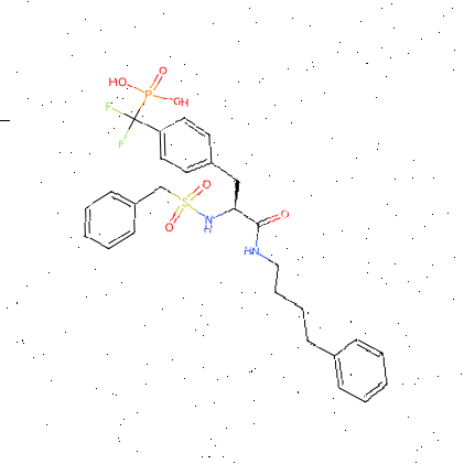 O=C(NCCCCc1ccccc1)[C@H](Cc1ccc(C(F)(F)P(=O)(O)O)cc1)NS(=O)(=O)Cc1ccccc1